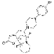 O=C1C=C2CC(N3CCN(c4ccc(Br)cc4)CC3)[C@@H]3C[C@@]2(O1)[C@H]1CCCCN31